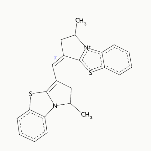 CC1CC(/C=C2/CC(C)[n+]3c2sc2ccccc23)=C2Sc3ccccc3N21